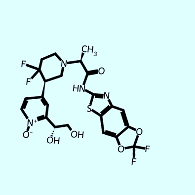 C[C@@H](C(=O)Nc1nc2cc3c(cc2s1)OC(F)(F)O3)N1CCC(F)(F)[C@H](c2cc[n+]([O-])c([C@@H](O)CO)c2)C1